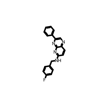 Fc1ccc(CNc2ccc3ncc(-c4ccccc4)nc3n2)cc1